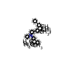 CC1(C)c2ccc(-c3ccccc3)cc2-c2cc(-c3cccc(N(c4ccccc4)c4ccc5c(c4)C(C)(C)C(C)(C)c4ccccc4-5)c3)ccc2C1(C)C